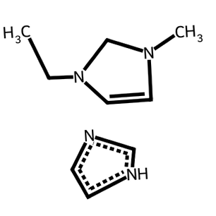 CCN1C=CN(C)C1.c1c[nH]cn1